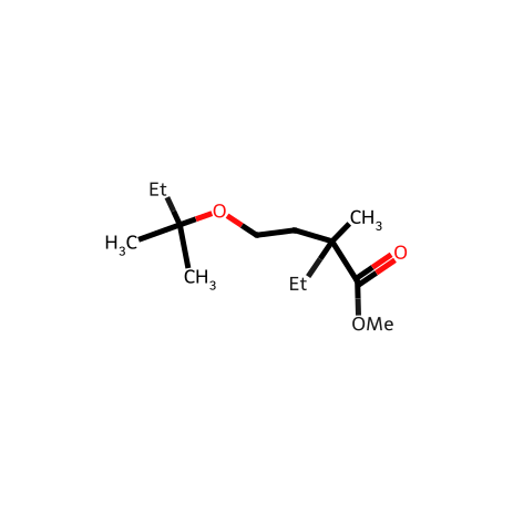 CCC(C)(C)OCCC(C)(CC)C(=O)OC